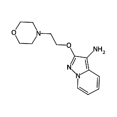 Nc1c(OCCN2CCOCC2)nn2ccccc12